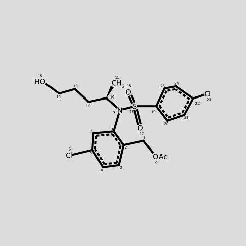 CC(=O)OCc1ccc(Cl)cc1N([C@H](C)CCCO)S(=O)(=O)c1ccc(Cl)cc1